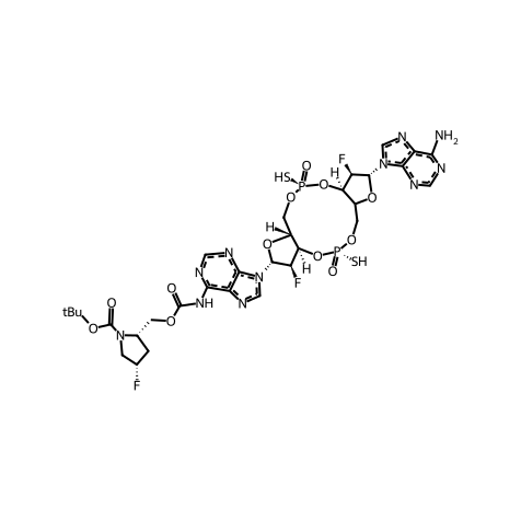 CC(C)(C)OC(=O)N1C[C@@H](F)C[C@H]1COC(=O)Nc1ncnc2c1ncn2[C@@H]1O[C@@H]2CO[P@@](=O)(S)O[C@@H]3C(CO[P@](=O)(S)O[C@H]2[C@H]1F)O[C@@H](n1cnc2c(N)ncnc21)[C@@H]3F